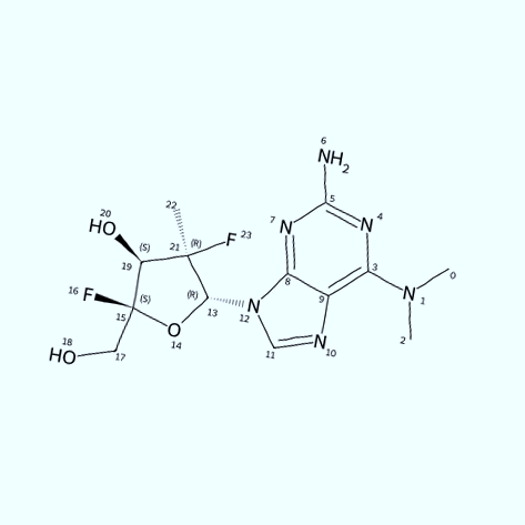 CN(C)c1nc(N)nc2c1ncn2[C@@H]1O[C@](F)(CO)[C@@H](O)[C@@]1(C)F